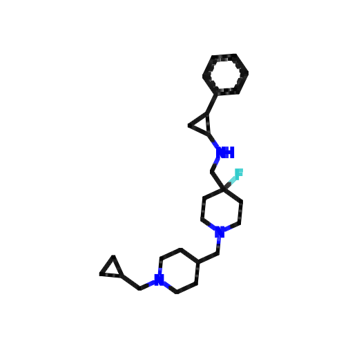 FC1(CNC2CC2c2ccccc2)CCN(CC2CCN(CC3CC3)CC2)CC1